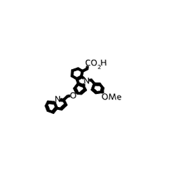 COc1ccc(Cn2c3c(c4cc(OCc5ccc6ccccc6n5)ccc42)CCCC3CC(=O)O)cc1